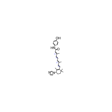 CC1=C(/C=C/C(C)=C/C=C/C(C)=C/C(=O)Nc2ccc(O)cc2)C(C)(C)CCC1n1ccnc1